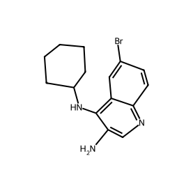 Nc1cnc2ccc(Br)cc2c1NC1CCCCC1